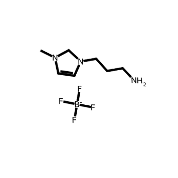 CN1C=CN(CCCN)C1.F[B-](F)(F)F